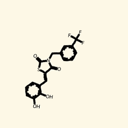 O=C1S/C(=C\c2cccc(O)c2O)C(=O)N1Cc1cccc(C(F)(F)F)c1